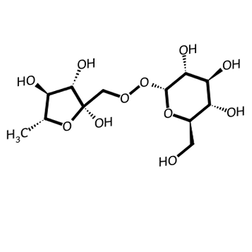 C[C@H]1O[C@](O)(COO[C@H]2O[C@H](CO)[C@@H](O)[C@H](O)[C@H]2O)[C@@H](O)[C@@H]1O